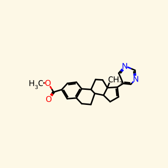 COC(=O)c1ccc2c(c1)CCC1C2CCC2(C)C(c3cncnc3)=CCC12